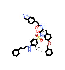 NCc1ccc(CC(=O)N[C@@H](Cc2ccc(OCc3ccccc3)cc2)C(=O)NS(=O)(=O)c2ccc(NCCCc3ccccc3)c([N+](=O)[O-])c2)cc1